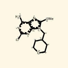 COc1nc2c(N)nc(Cl)nc2n1CC1CCOCC1